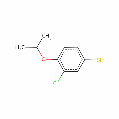 CC(C)Oc1ccc(S)cc1Cl